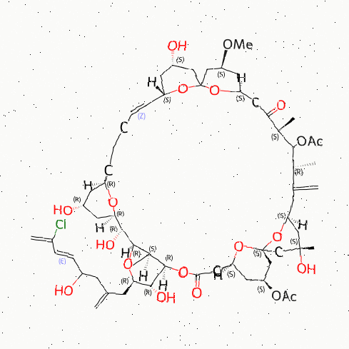 C=C(Cl)/C=C/C(O)CC(=C)C[C@H]1O[C@@H]2[C@H](C)[C@@H](OC(=O)C[C@@H]3C[C@H](OC(C)=O)C[C@@]4(C[C@@](C)(O)C[C@H](CC(=C)[C@@H](C)C(OC(C)=O)[C@H](C)C(=O)C[C@@H]5C[C@H](OC)CC6(C[C@@H](O)C[C@@H](/C=C\CCC[C@@H]7C[C@@H](O)C[C@@H](O7)[C@H]2O)O6)O5)O4)O3)[C@@H]1O